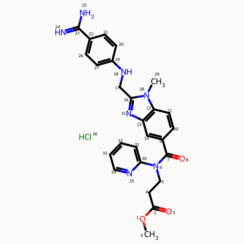 COC(=O)CCN(C(=O)c1ccc2c(c1)nc(CNc1ccc(C(=N)N)cc1)n2C)c1ccccn1.Cl